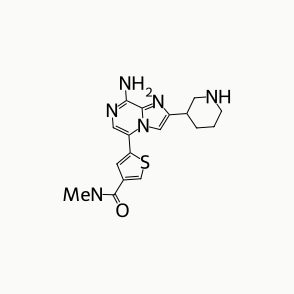 CNC(=O)c1csc(-c2cnc(N)c3nc(C4CCCNC4)cn23)c1